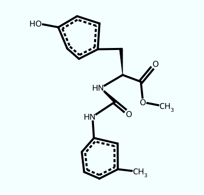 COC(=O)[C@H](Cc1ccc(O)cc1)NC(=O)Nc1cccc(C)c1